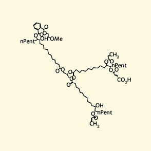 C=CC(=O)OC(CCCCC)C(O)CCCCCCCCCCC(=O)OCC(COC(=O)CCCCCCCCCCC(O)C(CCCCC)OC(=O)c1ccccc1C(=O)OCCOC)OC(=O)CCCCCCCCCCC(OC(=O)C=C)C(CCCCC)OC(=O)/C=C/C(=O)O